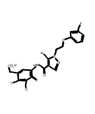 CC(C)c1c(C(=O)Nc2cc(CC(=O)O)c(Cl)c(Cl)c2F)cnn1CCOc1cccc(F)c1